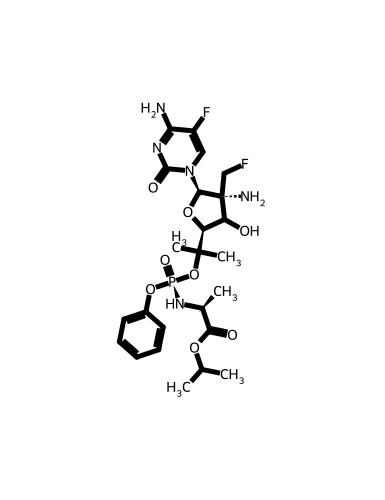 CC(C)OC(=O)[C@H](C)N[P@](=O)(Oc1ccccc1)OC(C)(C)[C@H]1O[C@@H](n2cc(F)c(N)nc2=O)[C@@](N)(CF)C1O